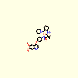 COc1cc2nccc(Oc3ccc(NC(=O)C4(C(=O)NC5CC=CC=C5CN5CCCCC5)CC4)cc3)c2cc1OC